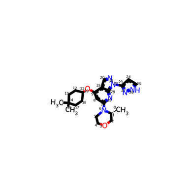 C[C@@H]1COCCN1c1cc(OC2CCC(C)(C)CC2)c2cnn(-c3cc[nH]n3)c2n1